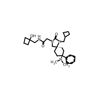 CN(C)[C@]1(c2ccccc2)CC[C@]2(CC1)CN(CC(=O)NCC1(O)CCC1)C(=O)N2CC1CCC1